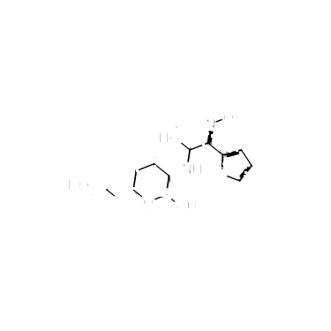 O=C(O)C[C@@H]1CC[C@H](NC(O)/C(=N/O)c2cccs2)B(O)O1